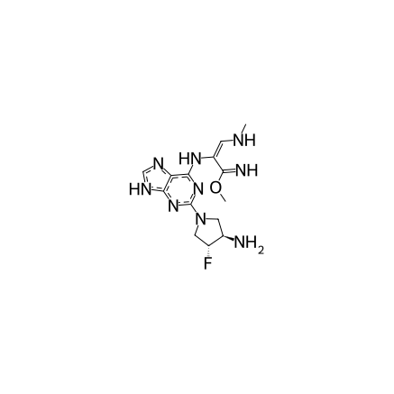 CN/C=C(/Nc1nc(N2C[C@@H](N)[C@H](F)C2)nc2[nH]cnc12)C(=N)OC